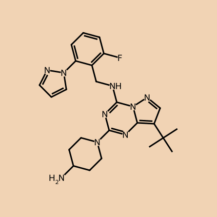 CC(C)(C)c1cnn2c(NCc3c(F)cccc3-n3cccn3)nc(N3CCC(N)CC3)nc12